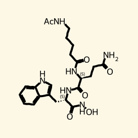 CC(=O)NCCCCC(=O)N[C@@H](CCC(N)=O)C(=O)N[C@@H](Cc1c[nH]c2ccccc12)C(=O)NO